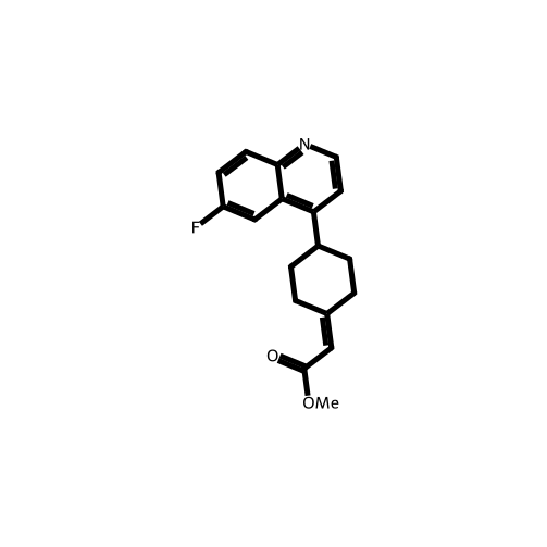 COC(=O)C=C1CCC(c2ccnc3ccc(F)cc23)CC1